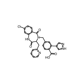 O=C(O)c1ccc(CN2C(=O)c3ccc(Cl)cc3NC(=O)C2Cc2ccccn2)cc1-c1cn[nH]c1